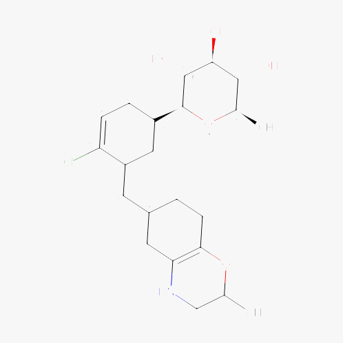 CC1CNC2=C(CCC(CC3CC([C@@H]4O[C@H](C)[C@@H](O)[C@H](O)[C@H]4O)CC=C3Cl)C2)O1